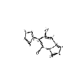 Clc1nc2ccnn2c(Cl)c1-c1ccsc1